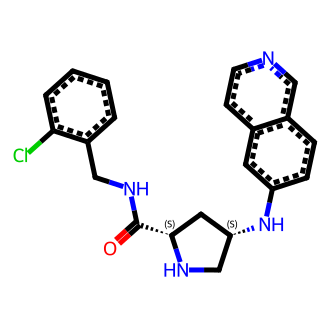 O=C(NCc1ccccc1Cl)[C@@H]1C[C@H](Nc2ccc3cnccc3c2)CN1